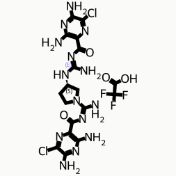 NC(=NC(=O)c1nc(Cl)c(N)nc1N)N1CC[C@H](N/C(N)=N/C(=O)c2nc(Cl)c(N)nc2N)C1.O=C(O)C(F)(F)F